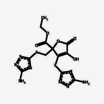 CCOC(=O)C1(CSc2nc(N)ns2)OC(=O)C(O)=C1Sc1nc(N)ns1